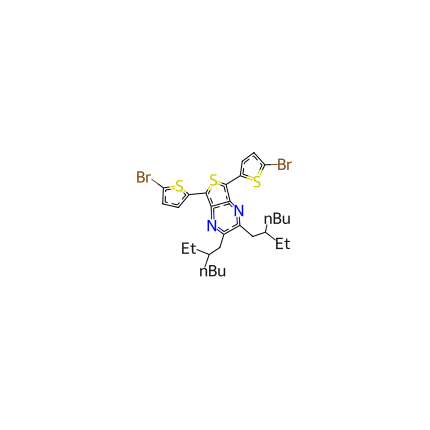 CCCCC(CC)Cc1nc2c(-c3ccc(Br)s3)sc(-c3ccc(Br)s3)c2nc1CC(CC)CCCC